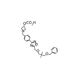 CC(C)(COCc1ccccc1)COCc1nc(-c2ccc(CN3CC(OC(=O)O)C3)cc2)no1